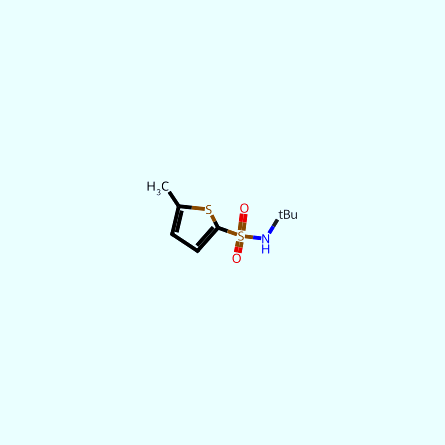 Cc1ccc(S(=O)(=O)NC(C)(C)C)s1